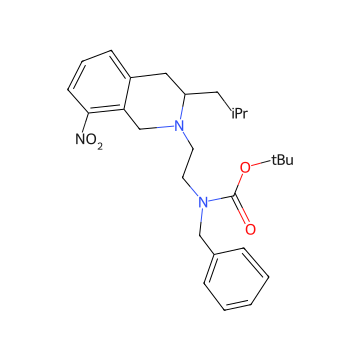 CC(C)CC1Cc2cccc([N+](=O)[O-])c2CN1CCN(Cc1ccccc1)C(=O)OC(C)(C)C